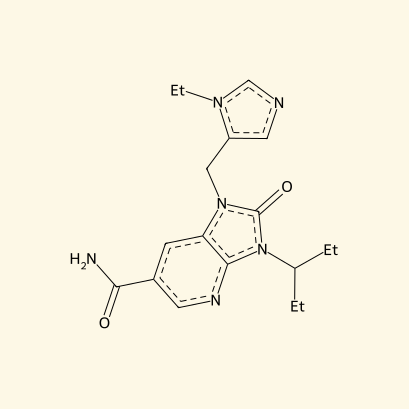 CCC(CC)n1c(=O)n(Cc2cncn2CC)c2cc(C(N)=O)cnc21